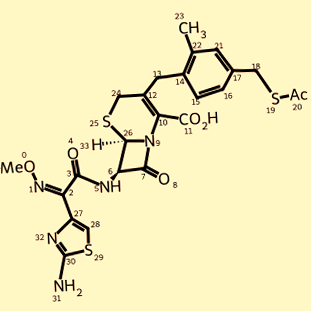 CO/N=C(\C(=O)N[C@@H]1C(=O)N2C(C(=O)O)=C(Cc3ccc(CSC(C)=O)cc3C)CS[C@H]12)c1csc(N)n1